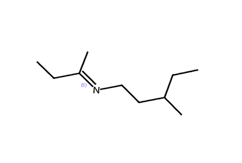 CC/C(C)=N/CCC(C)CC